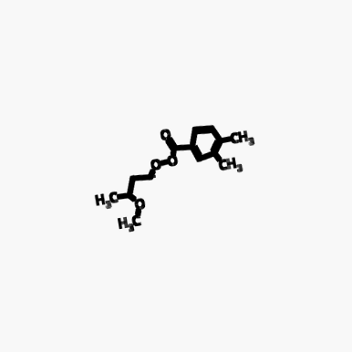 COC(C)C[CH]OOC(=O)c1ccc(C)c(C)c1